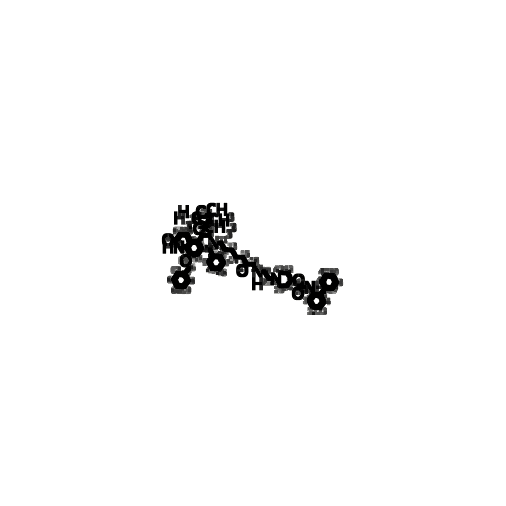 CC(C)(C)[Si](C)(C)OC(CN(CCCCCC(=O)CNCCN1CCC(OC(=O)Nc2ccccc2-c2ccccc2)CC1)Cc1ccccc1)c1ccc(OCc2ccccc2)c2[nH]c(=O)ccc12